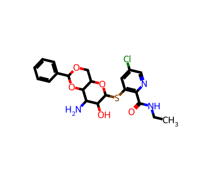 CCNC(=O)c1ncc(Cl)cc1SC1OC2COC(c3ccccc3)OC2C(N)C1O